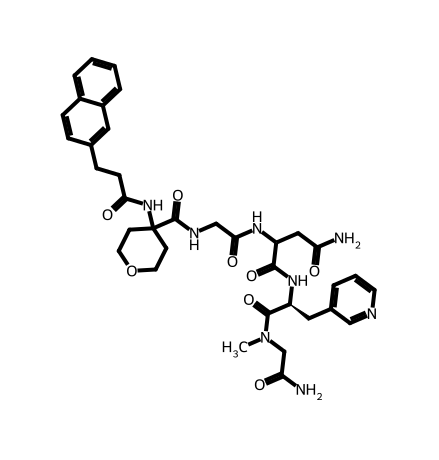 CN(CC(N)=O)C(=O)[C@H](Cc1cccnc1)NC(=O)C(CC(N)=O)NC(=O)CNC(=O)C1(NC(=O)CCc2ccc3ccccc3c2)CCOCC1